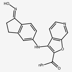 CCCC(=O)c1oc2cnccc2c1Nc1ccc2c(c1)CCC2=NO